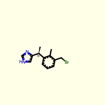 Cc1c(CBr)cccc1[C@H](C)c1c[nH]cn1